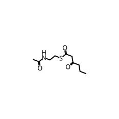 CCCC(=O)CC(=O)SCCNC(C)=O